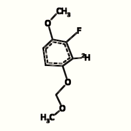 [2H]c1c(OCOC)ccc(OC)c1F